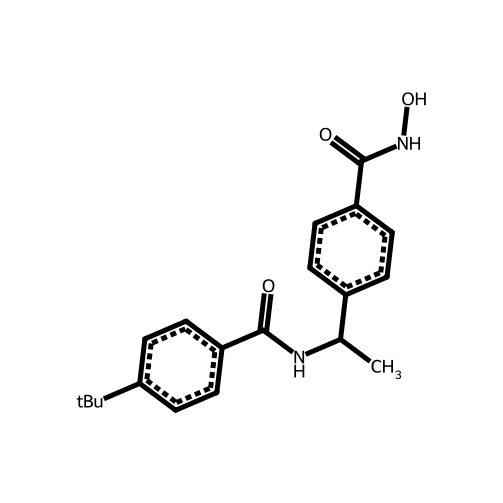 CC(NC(=O)c1ccc(C(C)(C)C)cc1)c1ccc(C(=O)NO)cc1